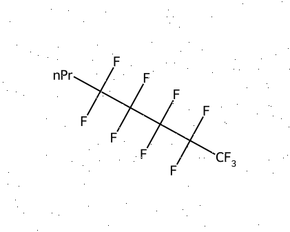 [CH2]CCC(F)(F)C(F)(F)C(F)(F)C(F)(F)C(F)(F)F